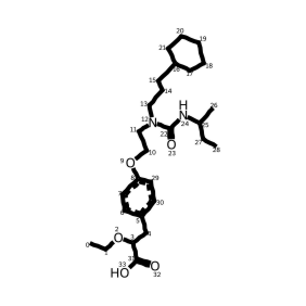 CCOC(Cc1ccc(OCCN(CCCC2CCCCC2)C(=O)NC(C)CC)cc1)C(=O)O